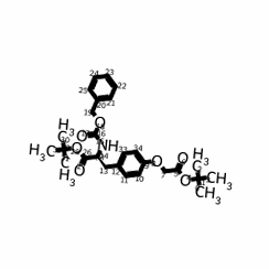 CC(C)(C)OC(=O)COc1ccc(C[C@H](NC(=O)OCc2ccccc2)C(=O)OC(C)(C)C)cc1